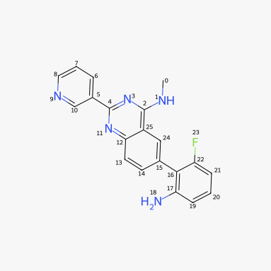 CNc1nc(-c2cccnc2)nc2ccc(-c3c(N)cccc3F)cc12